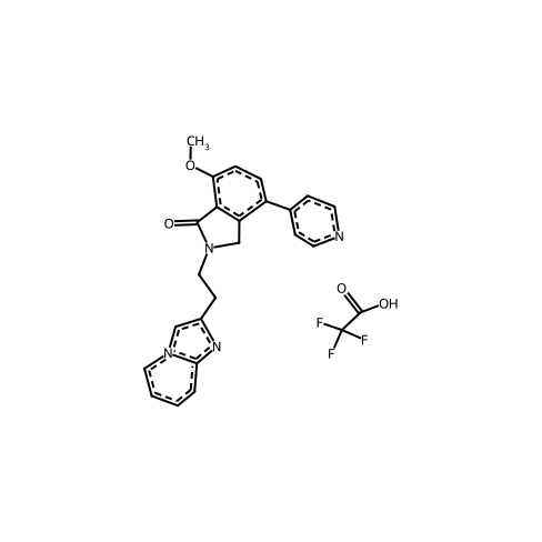 COc1ccc(-c2ccncc2)c2c1C(=O)N(CCc1cn3ccccc3n1)C2.O=C(O)C(F)(F)F